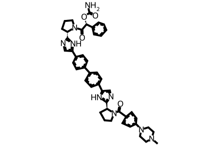 CN1CCN(c2ccc(C(=O)N3CCC[C@H]3c3ncc(-c4ccc(-c5ccc(-c6cnc([C@@H]7CCCN7C(=O)[C@H](OC(N)=O)c7ccccc7)[nH]6)cc5)cc4)[nH]3)cc2)CC1